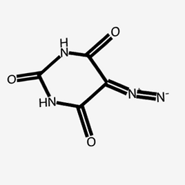 [N-]=[N+]=C1C(=O)NC(=O)NC1=O